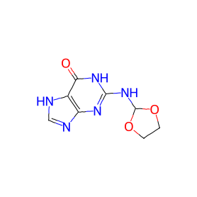 O=c1[nH]c(NC2OCCO2)nc2nc[nH]c12